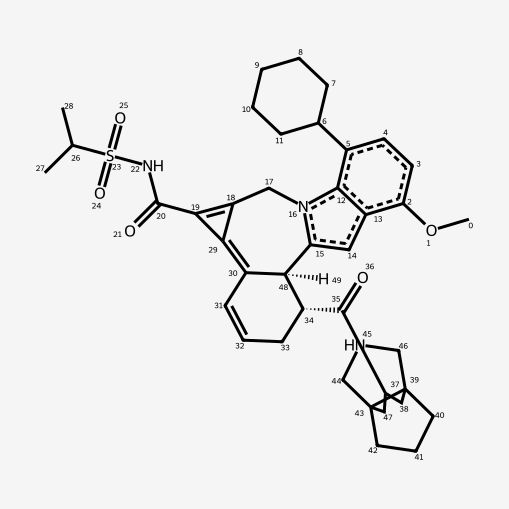 COc1ccc(C2CCCCC2)c2c1cc1n2CC2=C(C(=O)NS(=O)(=O)C(C)C)C2=C2C=CC[C@@H](C(=O)C3CC45CCCC4(CNC5)C3)[C@@H]21